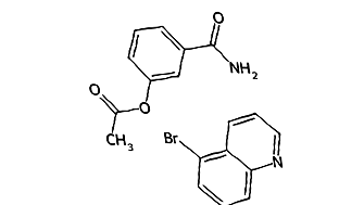 Brc1cccc2ncccc12.CC(=O)Oc1cccc(C(N)=O)c1